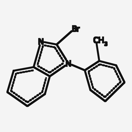 Cc1ccccc1-n1c(Br)nc2ccccc21